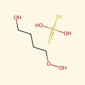 OCCCCOO.OP(O)(=S)S